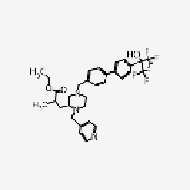 CCOC(=O)C(C)CC1CN(Cc2ccc(-c3ccc(C(O)(C(F)(F)F)C(F)(F)F)cc3)cc2)CCN1Cc1ccncc1